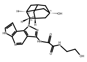 O=C(NCCO)C(=O)Nc1nn([C@H]2[C@@H]3CC4C[C@H]2C[C@@](O)(C4)C3)c2c1cnc1[nH]ccc12